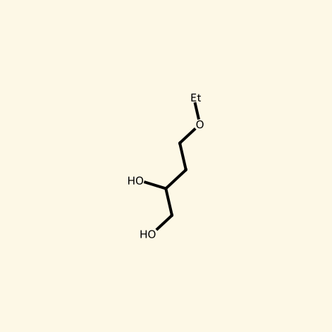 CCOCCC(O)CO